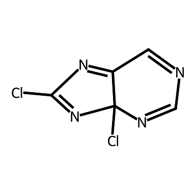 ClC1=NC2(Cl)N=CN=CC2=N1